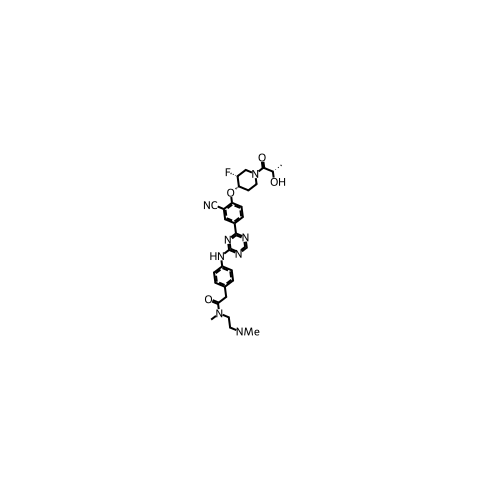 CNCCN(C)C(=O)Cc1ccc(Nc2ncnc(-c3ccc(O[C@H]4CCN(C(=O)[C@H](C)O)C[C@H]4F)c(C#N)c3)n2)cc1